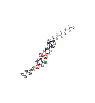 CCCCCCCCCCc1cnc(-c2ccc(OC(=O)c3ccc(OCCCCCCC)cc3F)cc2)nc1